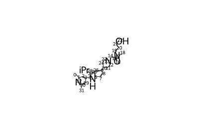 Cc1cc(-c2[nH]c3ccc(C4CCN(CC(=O)N(C)CCCO)CC4)cc3c2C(C)C)cc(C)n1